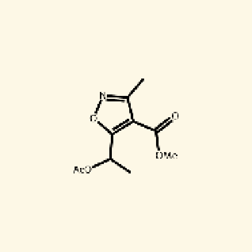 COC(=O)c1c(C)noc1C(C)OC(C)=O